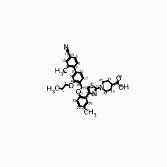 CCCOc1cc(-c2ccc(C#N)cc2C)ccc1COc1ccc(C)cc1-c1csc(N2CCC(C(=O)O)CC2)n1